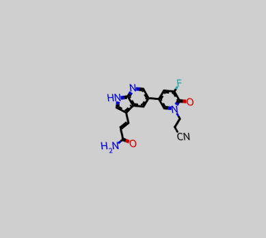 N#CCCn1cc(-c2cnc3[nH]cc(C=CC(N)=O)c3c2)cc(F)c1=O